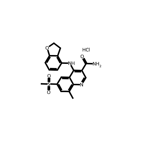 Cc1cc(S(C)(=O)=O)cc2c(Nc3cccc4c3CCO4)c(C(N)=O)cnc12.Cl